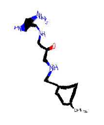 Cc1ccc(CNCC(=O)CNC(=N)N)cc1